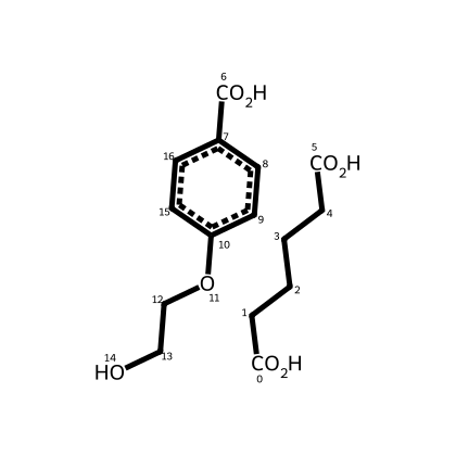 O=C(O)CCCCC(=O)O.O=C(O)c1ccc(OCCO)cc1